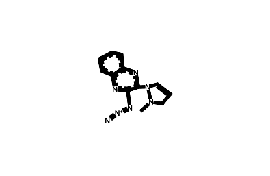 CN1CC=CN1c1nc2ccccc2nc1N=[N+]=[N-]